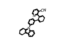 N#Cc1cccnc1C1=CCCC=C1c1cccc(-n2c3c(c4ccccc42)CCC=C3)c1